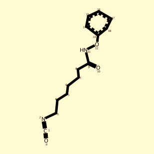 O=C=NCCCCCCC(=O)NOc1ccccc1